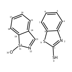 Sc1nc2ccccc2s1.[O-][s+]1ncc2ccccc21